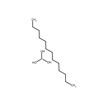 CCCCCCCCCCCCC.OP(O)O